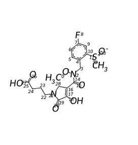 CON(Cc1ccc(F)cc1[S+](C)[O-])C(=O)C1=C(O)C(=O)N(CCCC(=O)O)C1